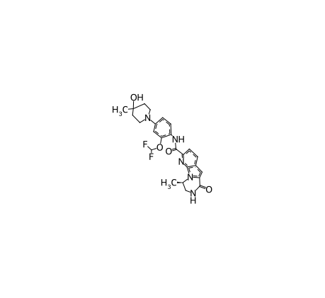 C[C@@H]1CNC(=O)c2cc3ccc(C(=O)Nc4ccc(N5CCC(C)(O)CC5)cc4OC(F)F)nc3n21